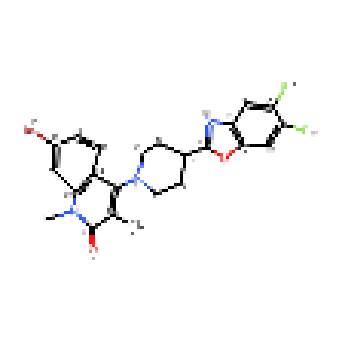 Cn1c(=O)c(C#N)c(N2CCC(c3nc4cc(F)c(F)cc4o3)CC2)c2ccc(Br)cc21